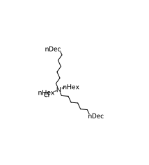 CCCCCCCCCCCCCCCC[N+](CCCCCC)(CCCCCC)CCCCCCCCCCCCCCCC.[Cl-]